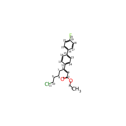 CCOC(=O)C=C(CCCCCl)c1ccc(-c2ccc(F)cc2)cc1